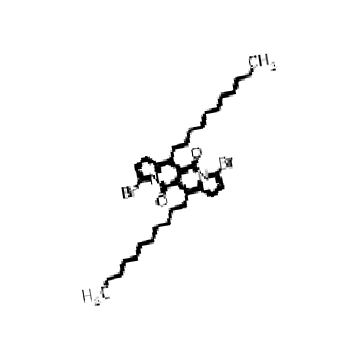 CCCCCCCCCCCc1c2c(=O)n3c(Br)ccc3c(CCCCCCCCCCC)c2c(=O)n2c(Br)ccc12